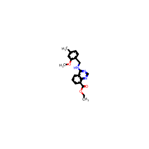 CCOC(=O)c1cccc2c(NCc3ccc(C)cc3OC)ncnc12